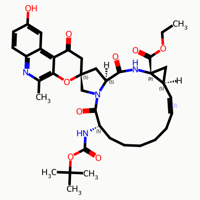 CCOC(=O)[C@@]12C[C@H]1/C=C\CCCCC[C@H](NC(=O)OC(C)(C)C)C(=O)N1C[C@@]3(CC(=O)c4c(c(C)nc5ccc(O)cc45)O3)C[C@H]1C(=O)N2